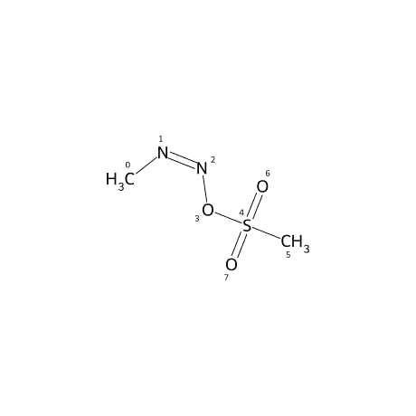 C/N=N\OS(C)(=O)=O